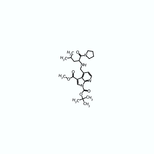 COC(=O)c1cn(C(=O)OC(C)(C)C)c2nccc(CNC(CC(C)C)C(=O)N3CCCC3)c12